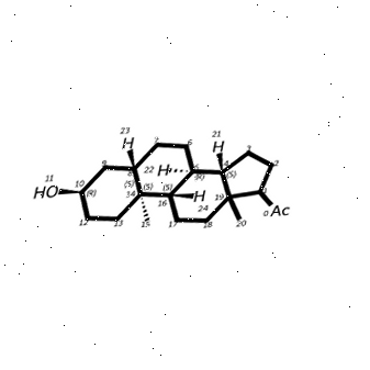 CC(=O)C1CC[C@H]2[C@@H]3CC[C@H]4C[C@H](O)CC[C@]4(C)[C@H]3CCC12C